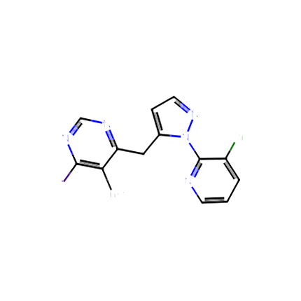 CCCc1c(I)ncnc1Cc1ccnn1-c1ncccc1Br